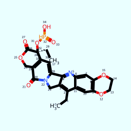 CCc1c2c(nc3cc4c(cc13)OCCO4)-c1cc3c(c(=O)n1C2)COC(=O)[C@@]3(CC)O[PH](=O)O